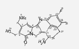 CNCc1cc2n(c(=O)c1CO)Cc1c-2nc2cc(F)c(C)c3c2c1C(N)CC3